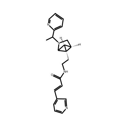 CC(c1ccccn1)N1C[C@@H]2[C@@H]3C1[C@]23CCNC(=O)/C=C/c1cccnc1